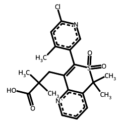 Cc1cc(Cl)ncc1C1=C(CC(C)(C)C(=O)O)c2ncccc2C(C)(C)S1(=O)=O